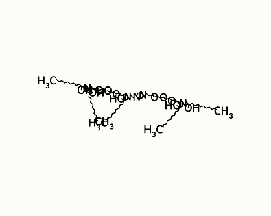 CCCCCCCCCCC(O)CN(CCCOCCOCCOCCCN(CC(O)CCCCCCCCCC)CC(O)CCCCCCCCCC)CCN1CCN(CCCOCCOCCOCCCN(CC(O)CCCCCCCCCC)CC(O)CCCCCCCCCC)CC1